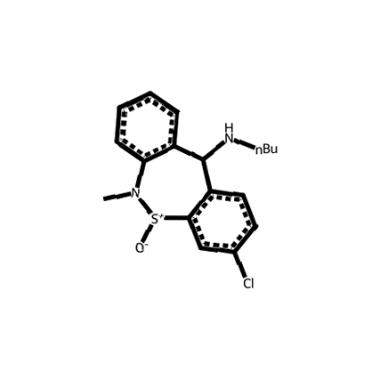 CCCCNC1c2ccccc2N(C)[S+]([O-])c2cc(Cl)ccc21